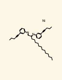 CCCC#Cc1cccc(N=CC(CCCCCCCCCCCCC)=Nc2cccc(C#CCCC)c2)c1.[Ni]